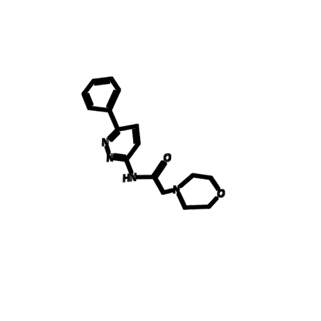 O=C(CN1CCOCC1)Nc1ccc(-c2ccccc2)nn1